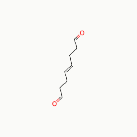 O=CCCC=CCCC=O